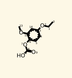 CCOc1ccc(OC(=O)O)c(OC)c1